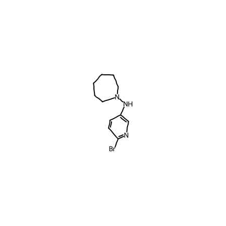 Brc1ccc(NN2CCCCCC2)cn1